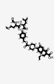 CCn1cc(C(=O)O)c(=O)c2cc(F)c(N3CCN(C(=O)OCc4ccc(OC(=O)C(CC(C)C)NC(=O)C(CCSC)NC=O)cc4)CC3)cc21